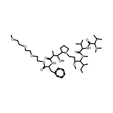 CCC(C)C(C(CCN1CCCC1C(OC)C(C)C(=O)NC(Cc1ccccc1)C(=O)OCCOCCOCCOC)OC)N(C)C(=O)C(NC(=O)C(C(C)C)N(C)C)C(C)C